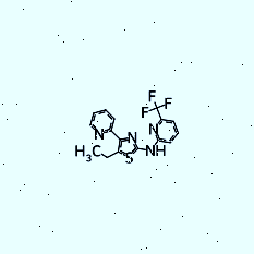 CCc1sc(Nc2cccc(C(F)(F)F)n2)nc1-c1ccccn1